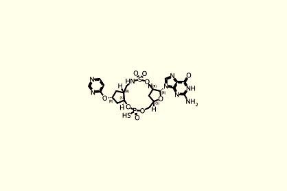 Nc1nc2c(ncn2[C@@H]2O[C@@H]3COP(=O)(S)O[C@H]4C[C@H](Oc5ccncn5)C[C@@H]4CNS(=O)(=O)O[C@@H]2C3)c(=O)[nH]1